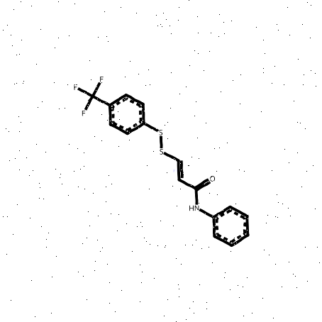 O=C(/C=C/SSc1ccc(C(F)(F)F)cc1)Nc1ccccc1